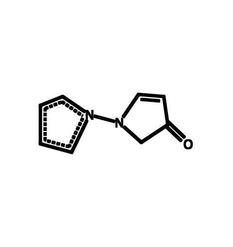 O=C1C=CN(n2cccc2)C1